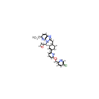 O=C(O)c1ccc2nc(CC3CC=C(c4cccc(OCc5ccc(Cl)cn5)n4)CC3)n(CC3CCO3)c2n1